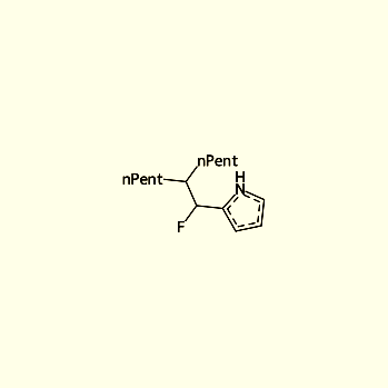 CCCCCC(CCCCC)C(F)c1ccc[nH]1